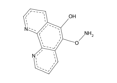 NOc1c(O)c2cccnc2c2ncccc12